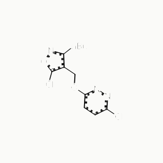 CCCCc1noc(C)c1COc1ccc(Cl)nn1